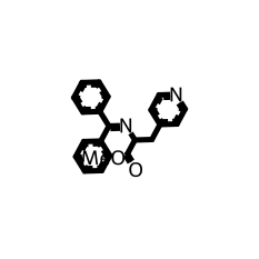 COC(=O)C(Cc1ccncc1)N=C(c1ccccc1)c1ccccc1